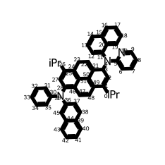 CC(C)C1=CC(N(c2ccccn2)c2cccc3ccccc23)C2=CCc3c(C(C)C)cc(N(c4ccccc4)c4ccc5ccccc5c4)c4ccc1c2c34